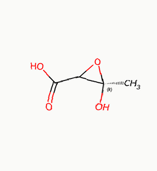 C[C@@]1(O)OC1C(=O)O